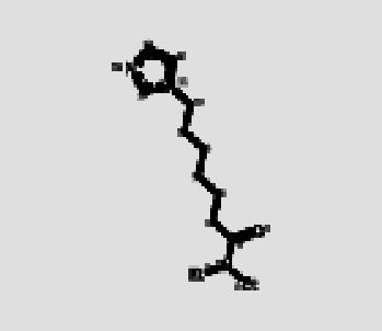 CCN(CC)C(=O)CCCCCCn1c[c]nc1